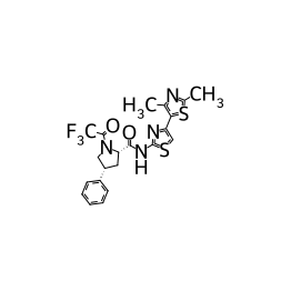 Cc1nc(C)c(-c2csc(NC(=O)[C@@H]3C[C@H](c4ccccc4)CN3C(=O)C(F)(F)F)n2)s1